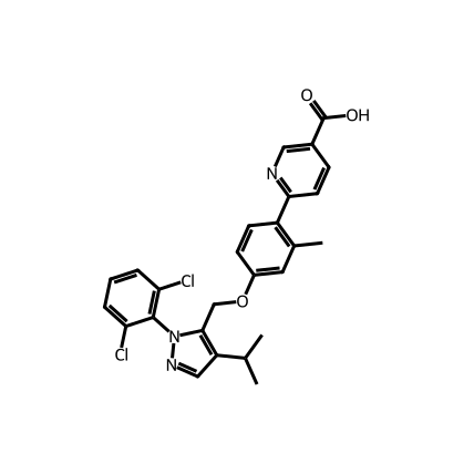 Cc1cc(OCc2c(C(C)C)cnn2-c2c(Cl)cccc2Cl)ccc1-c1ccc(C(=O)O)cn1